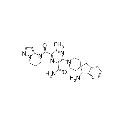 Cc1nc(N2CCC3(CC2)Cc2ccccc2C3N)c(C(N)=O)nc1C(=O)N1CCCn2nccc21